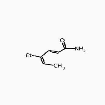 CC=C(C=CC(N)=O)CC